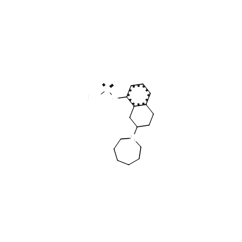 O=S(=O)(Oc1cccc2c1CC(N1CCCCCC1)CC2)C(F)(F)F